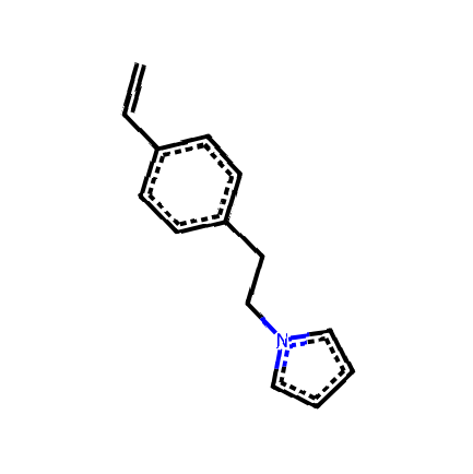 C=Cc1ccc(CCn2cccc2)cc1